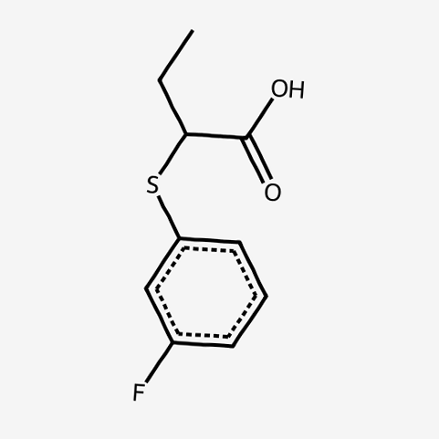 CCC(Sc1cccc(F)c1)C(=O)O